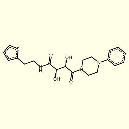 O=C(NCCc1cccs1)[C@H](O)[C@@H](O)C(=O)N1CCN(c2ccccc2)CC1